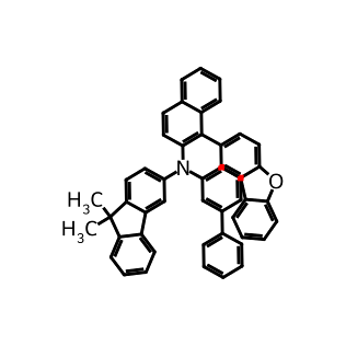 CC1(C)c2ccccc2-c2cc(N(c3cccc(-c4ccccc4)c3)c3ccc4ccccc4c3-c3ccc4oc5ccccc5c4c3)ccc21